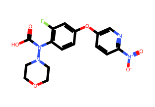 O=C(O)N(c1ccc(Oc2ccc([N+](=O)[O-])nc2)cc1F)N1CCOCC1